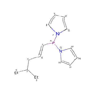 CCC(CC)CC=CP(n1cccc1)n1cccc1